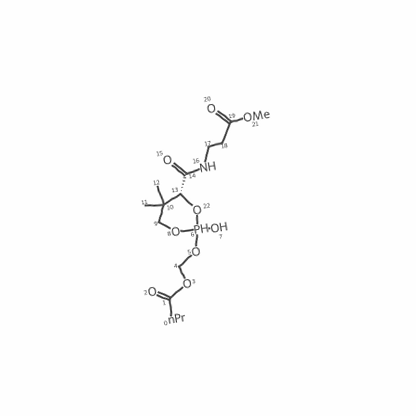 CCCC(=O)OCO[PH]1(O)OCC(C)(C)[C@H](C(=O)NCCC(=O)OC)O1